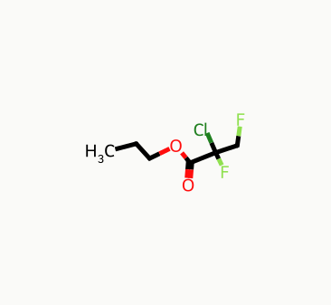 CCCOC(=O)C(F)(Cl)CF